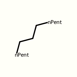 CCC[CH]CCCCCCCCC